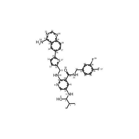 CC(C)C(O)Nc1cnc(NCc2ccc(-c3ccc4ncnc(N)c4c3)s2)c(C(=O)NCc2ccc(F)c(F)c2)c1